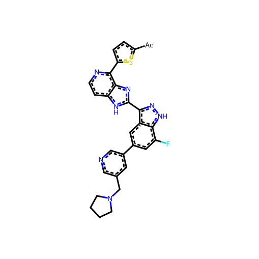 CC(=O)c1ccc(-c2nccc3[nH]c(-c4n[nH]c5c(F)cc(-c6cncc(CN7CCCC7)c6)cc45)nc23)s1